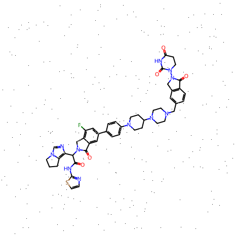 O=C1CCN(N2Cc3cc(CN4CCN(C5CCN(c6ccc(-c7cc(F)c8c(c7)C(=O)N(C(C(=O)Nc7nccs7)c7ncn9c7CCC9)C8)cc6)CC5)CC4)ccc3C2=O)C(=O)N1